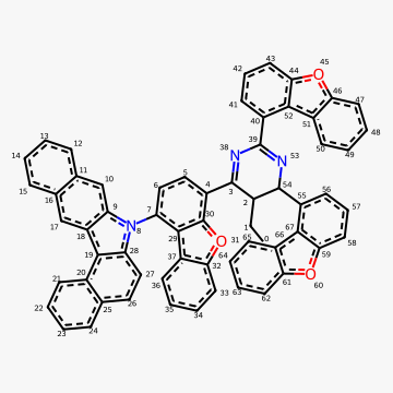 CCC1C(c2ccc(-n3c4cc5ccccc5cc4c4c5ccccc5ccc43)c3c2oc2ccccc23)=NC(c2cccc3oc4ccccc4c23)=NC1c1cccc2oc3ccccc3c12